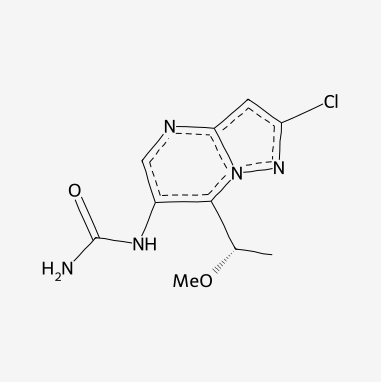 CO[C@@H](C)c1c(NC(N)=O)cnc2cc(Cl)nn12